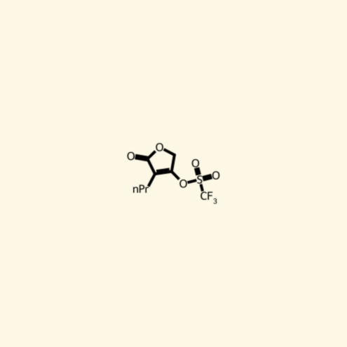 CCCC1=C(OS(=O)(=O)C(F)(F)F)COC1=O